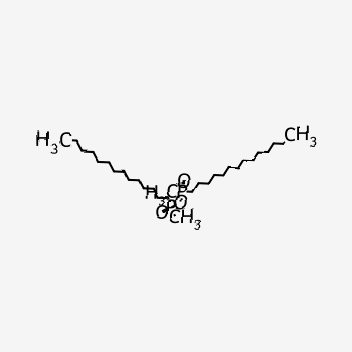 CCCCCCCCCCCCCCP(C)(=O)OP(C)(=O)CCCCCCCCCCCCCC